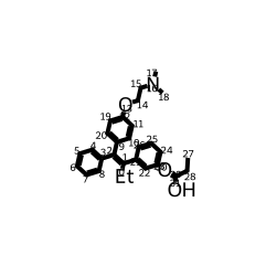 CC/C(=C(\c1ccccc1)c1ccc(OCCN(C)C)cc1)c1ccccc1.CCC(=O)O